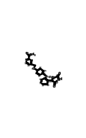 NC(=O)c1cc(COc2ccc(Sc3cnccc3C3NC(=O)NC3=O)cc2)ccn1